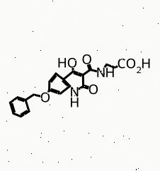 O=C(O)CCNC(=O)c1c(O)c2ccc(OCc3ccccc3)cc2[nH]c1=O